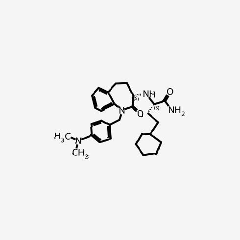 CN(C)c1ccc(CN2C(=O)[C@@H](N[C@@H](CCC3CCCCC3)C(N)=O)CCc3ccccc32)cc1